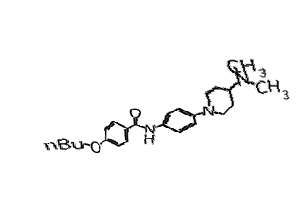 CCCCOc1ccc(C(=O)Nc2ccc(N3CCC(N(C)C)CC3)cc2)cc1